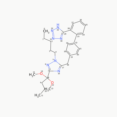 CCCCCn1nc(C(CCC)(OC)OC)nc1Cc1ccc(-c2ccccc2-c2nnn[nH]2)cc1